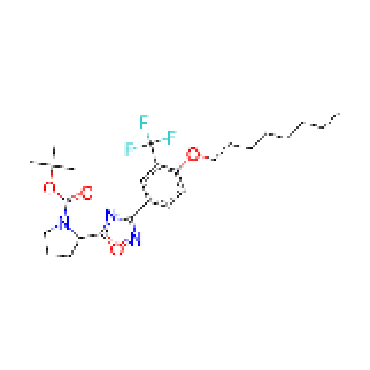 CCCCCCCCOc1ccc(-c2noc(C3CCCN3C(=O)OC(C)(C)C)n2)cc1C(F)(F)F